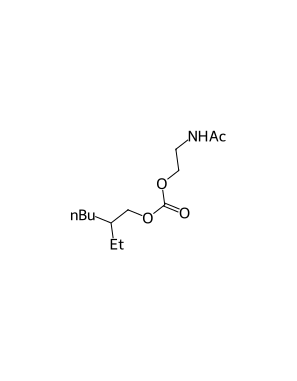 CCCCC(CC)COC(=O)OCCNC(C)=O